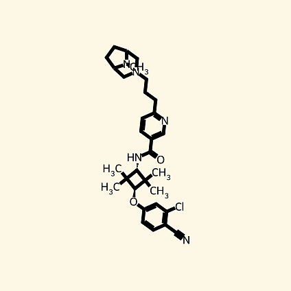 CN1C2CCC1CN(CCCc1ccc(C(=O)N[C@H]3C(C)(C)[C@H](Oc4ccc(C#N)c(Cl)c4)C3(C)C)cn1)C2